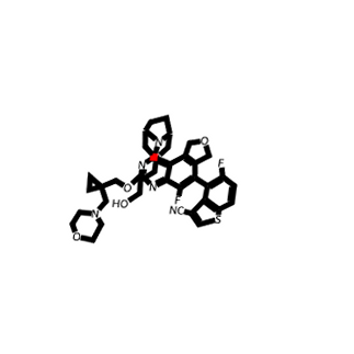 N#Cc1csc2ccc(F)c(-c3c4c(c5c(N6C7CCC6CN(CCCO)C7)nc(OCC6(CN7CCOCC7)CC6)nc5c3F)COC4)c12